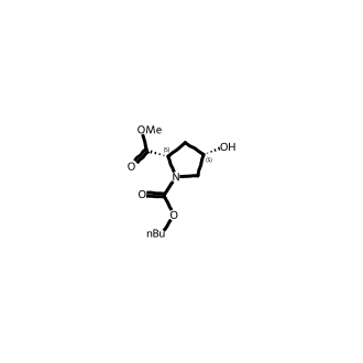 CCCCOC(=O)N1C[C@@H](O)C[C@H]1C(=O)OC